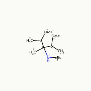 CCCCNC(C)(C(C)OC)C(C)OC